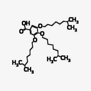 CC(C)CCCCCCOc1cc(C(=O)O)cc(OCCCCCCC(C)C)c1OCCCCCCC(C)C